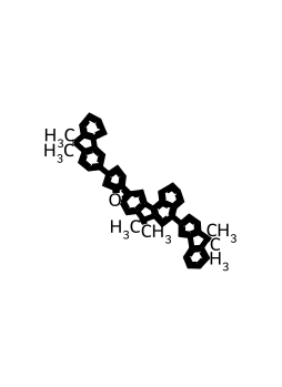 CC1(C)c2ccccc2-c2cc(-c3ccc4c(c3)oc3cc5c(cc34)-c3c(cc(-c4ccc6c(c4)-c4ccccc4C6(C)C)c4ccccc34)C5(C)C)ccc21